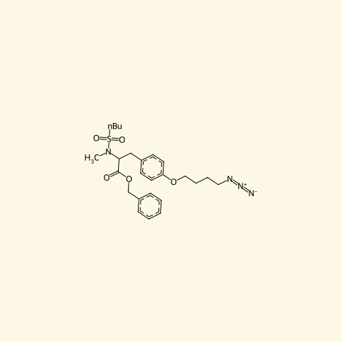 CCCCS(=O)(=O)N(C)C(Cc1ccc(OCCCCN=[N+]=[N-])cc1)C(=O)OCc1ccccc1